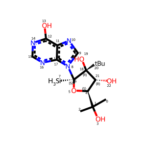 CC(C)(O)[C@H]1O[C@@]([SiH3])(n2cnc3c(O)ncnc32)[C@@](O)(C(C)(C)C)[C@@H]1O